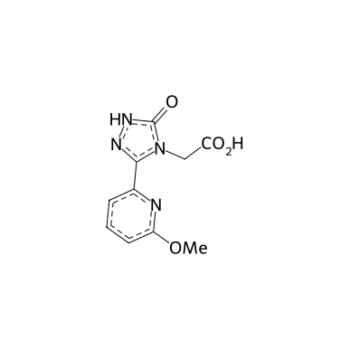 COc1cccc(-c2n[nH]c(=O)n2CC(=O)O)n1